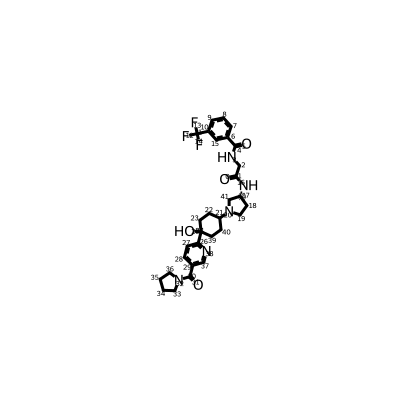 O=C(CNC(=O)c1cccc(C(F)(F)F)c1)N[C@@H]1CCN(C2CCC(O)(c3ccc(C(=O)N4CCCC4)cn3)CC2)C1